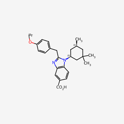 CC(C)Oc1ccc(Cc2nc3cc(C(=O)O)ccc3n2[C@H]2C[C@@H](C)CC(C)(C)C2)cc1